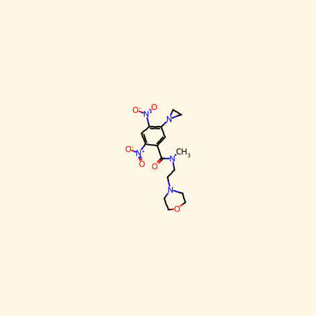 CN(CCN1CCOCC1)C(=O)c1cc(N2CC2)c([N+](=O)[O-])cc1[N+](=O)[O-]